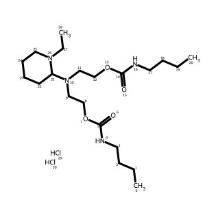 CCCCNC(=O)OCCN(CCOC(=O)NCCCC)C1CCCCN1CC.Cl.Cl